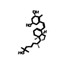 CC1=C(/C=C\C2=CCC[C@@]3(C)[C@@H]2CC[C@@H]3[C@H](C)CCCC(C)(C)O)C[C@@H](O)C[C@@H]1O